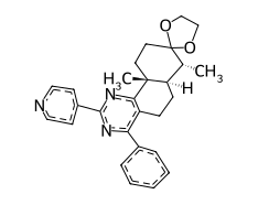 C[C@@H]1[C@H]2CCc3c(-c4ccccc4)nc(-c4ccncc4)nc3[C@]2(C)CCC12OCCO2